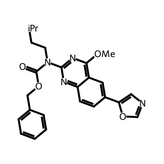 COc1nc(N(CCC(C)C)C(=O)OCc2ccccc2)nc2ccc(-c3cnco3)cc12